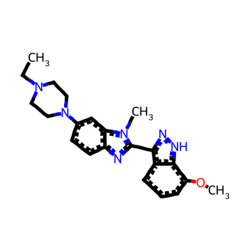 CCN1CCN(c2ccc3nc(-c4n[nH]c5c(OC)cccc45)n(C)c3c2)CC1